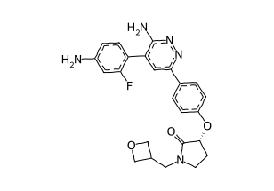 Nc1ccc(-c2cc(-c3ccc(O[C@@H]4CCN(CC5COC5)C4=O)cc3)nnc2N)c(F)c1